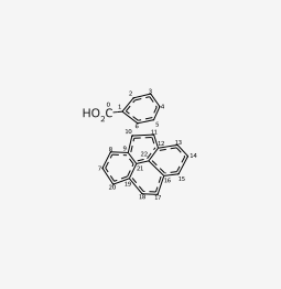 O=C(O)c1ccccc1.c1cc2ccc3cccc4ccc(c1)c2c34